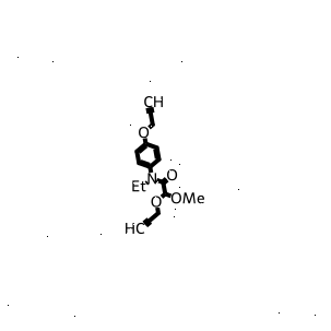 C#CCOc1ccc(N(CC)C(=O)C(OC)OCC#C)cc1